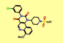 CCCS(=O)(=O)N1CCC(n2c(=O)n(-c3cccc(Cl)c3)c(=O)c3cnc4c(OC)cccc4c32)CC1